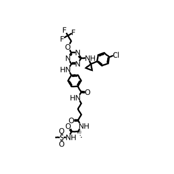 C[C@@H](NC(=O)CCCNC(=O)c1ccc(Nc2nc(NC3(c4ccc(Cl)cc4)CC3)nc(OCC(F)(F)F)n2)cc1)C(=O)NS(C)(=O)=O